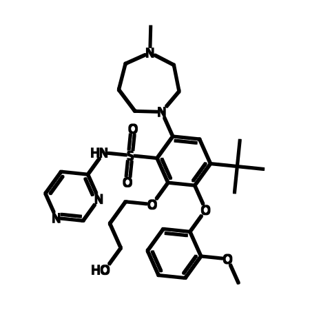 COc1ccccc1Oc1c(C(C)(C)C)cc(N2CCCN(C)CC2)c(S(=O)(=O)Nc2ccncn2)c1OCCCO